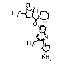 Cc1cn2nc([C@@H]3CCCCN3C(=O)C3CC(C)N(C)N3)cc2nc1N1CC[C@H](N)C1